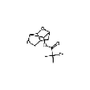 CCC(C)(C)C(=O)OC1C2CC3COC1C3O2